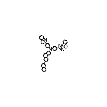 c1ccc2cc(-c3ccc4c(ccc5cc(N(c6ccc(-c7cnc8oc9ccccc9c8n7)cc6)c6ccc(-c7nc8ccccc8o7)cc6)ccc54)c3)ccc2c1